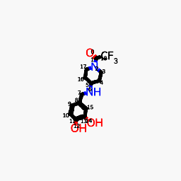 O=C(N1CCC(NCc2ccc(O)c(O)c2)CC1)C(F)(F)F